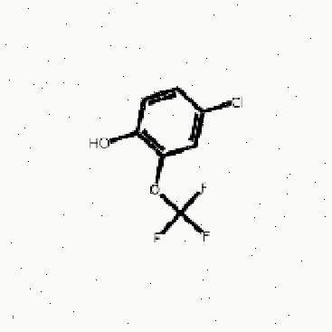 Oc1ccc(Cl)cc1OC(F)(F)F